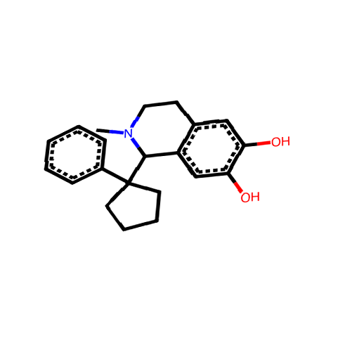 CN1CCc2cc(O)c(O)cc2C1C1(c2ccccc2)CCCC1